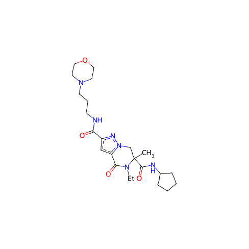 CCN1C(=O)c2cc(C(=O)NCCCN3CCOCC3)nn2CC1(C)C(=O)NC1CCCC1